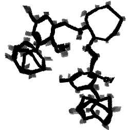 Cc1cc(CSC2CCCCCCC2SCc2cc(C)cc(C34CC5CC(CC(C5)C3)C4)c2O)c(O)c(C23CC4CC(CC(C4)C2)C3)c1